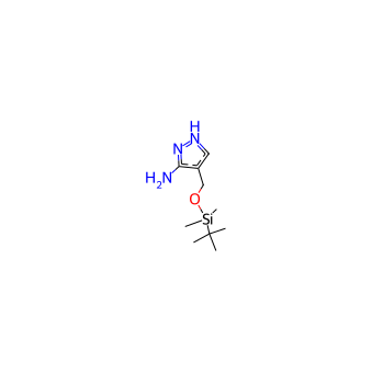 CC(C)(C)[Si](C)(C)OCc1c[nH]nc1N